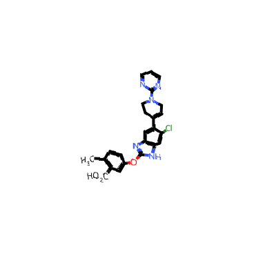 Cc1ccc(Oc2nc3cc(C4=CCN(c5ncccn5)CC4)c(Cl)cc3[nH]2)cc1C(=O)O